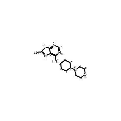 CCc1nc2c(N[C@H]3CC[C@H](N4CCOCC4)CC3)ncnc2s1